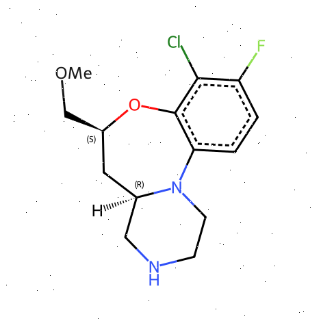 COC[C@@H]1C[C@@H]2CNCCN2c2ccc(F)c(Cl)c2O1